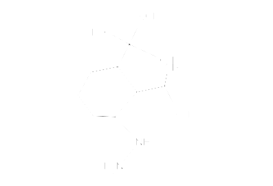 CC(C)C1C(NN)CCCC1C(C)(C)O